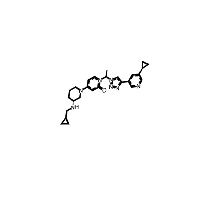 CC(n1cc(-c2cncc(C3CC3)c2)nn1)n1ccc(N2CCC[C@@H](NCC3CC3)C2)cc1=O